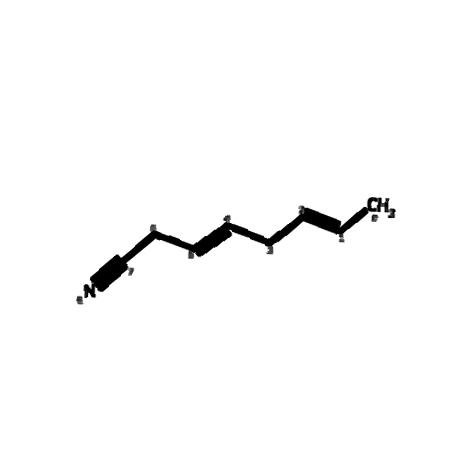 CC=CCC=CCC#N